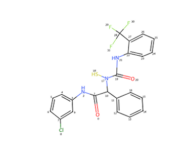 O=C(Nc1cccc(Cl)c1)C(c1ccccc1)N(S)C(=O)Nc1ccccc1C(F)(F)F